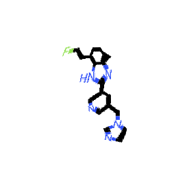 FCCc1cccc2nc(-c3cncc(Cn4ccnc4)c3)[nH]c12